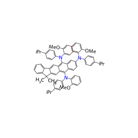 COc1ccccc1N(c1ccc(C(C)C)cc1)c1ccc2c(N(c3ccc(C(C)C)cc3)c3ccccc3OC)c3cc4c(cc3c(N(c3ccc(C(C)C)cc3)c3ccccc3OC)c2c1)-c1ccccc1C4(C)C